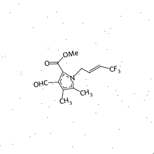 COC(=O)c1c(C=O)c(C)c(C)n1CC=CC(F)(F)F